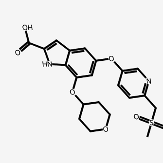 CS(=O)(=O)Cc1ccc(Oc2cc(OC3CCOCC3)c3[nH]c(C(=O)O)cc3c2)cn1